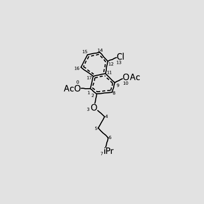 CC(=O)Oc1c(OCCCC(C)C)cc(OC(C)=O)c2c(Cl)cccc12